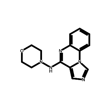 c1ccc2c(c1)nc(NN1CCOCC1)c1cncn12